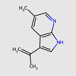 C=C(C)c1c[nH]c2ncc(C)cc12